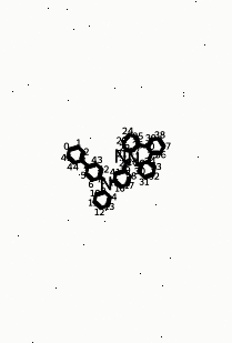 c1ccc(-c2ccc(N(c3ccccc3)c3cccc(-c4nc5cccc6c5n4-c4ccccc4-c4ccccc4-6)c3)cc2)cc1